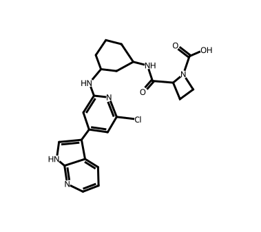 O=C(NC1CCCC(Nc2cc(-c3c[nH]c4ncccc34)cc(Cl)n2)C1)C1CCN1C(=O)O